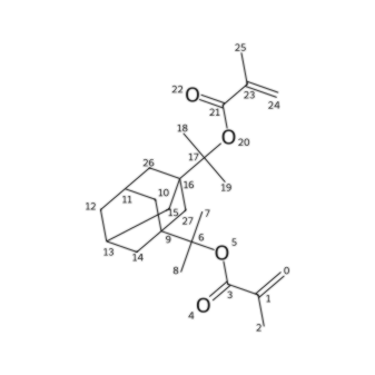 C=C(C)C(=O)OC(C)(C)C12CC3CC(C1)CC(C(C)(C)OC(=O)C(=C)C)(C3)C2